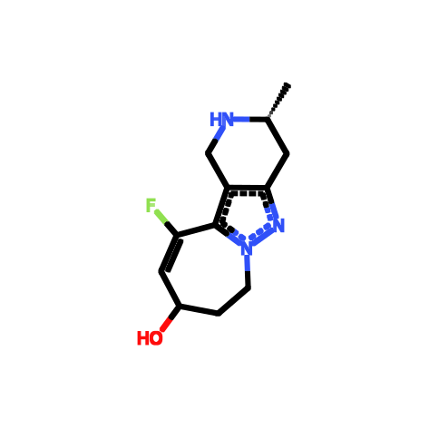 C[C@@H]1Cc2nn3c(c2CN1)C(F)=CC(O)CC3